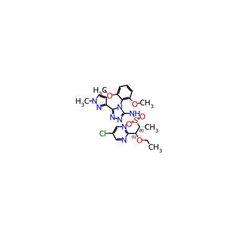 CCO[C@@H](c1ncc(Cl)cn1)[C@@H](C)S(=O)(=O)Nc1nnc(-c2ccn(C)n2)n1-c1c(OC)cccc1OC